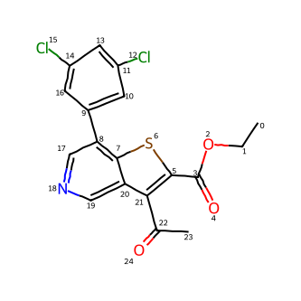 CCOC(=O)c1sc2c(-c3cc(Cl)cc(Cl)c3)cncc2c1C(C)=O